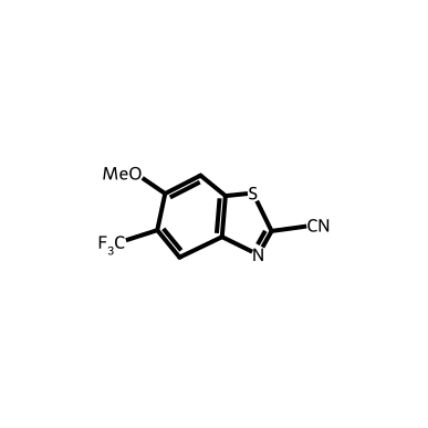 COc1cc2sc(C#N)nc2cc1C(F)(F)F